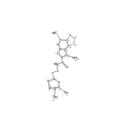 CCCc1nc2sc(C(=O)NCCc3ccc(O)c(O)c3)c(N)c2c2c1CCC2